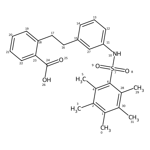 Cc1c(C)c(C)c(S(=O)(=O)Nc2cccc(CCc3ccccc3C(=O)O)c2)c(C)c1C